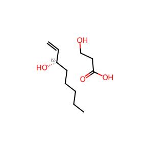 C=C[C@@H](O)CCCCC.O=C(O)CCO